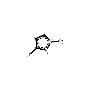 CCn1ccc(I)n1